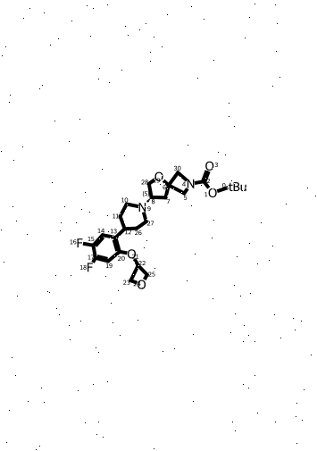 CC(C)(C)OC(=O)N1CC2(C[C@H](N3CCC(c4cc(F)c(F)cc4OC4COC4)CC3)CO2)C1